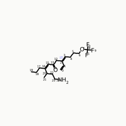 C=C/C(=C\CCCOC(F)(F)F)CC(=O)C=C(CCC)C(C)CCN